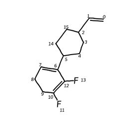 C=CC1CCC(C2=CCCC(F)=C2F)CC1